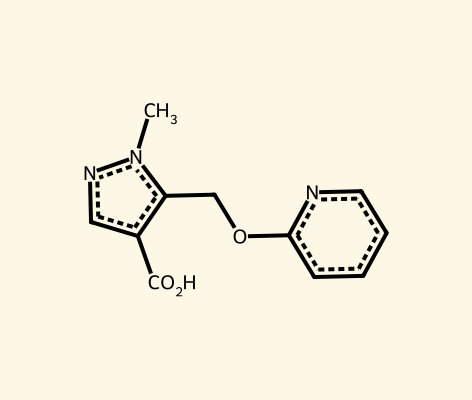 Cn1ncc(C(=O)O)c1COc1ccccn1